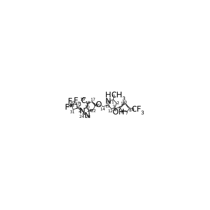 CC1CC(O)(c2ccc(C(F)(F)F)cc2)CC(COc2cc(C(F)(F)F)c3c(c2)ncn3C2CC(F)(F)C2)N1